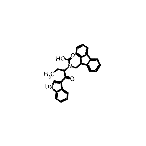 CCC(C(=O)c1c[nH]c2ccccc12)N(CC1c2ccccc2-c2ccccc21)C(=O)O